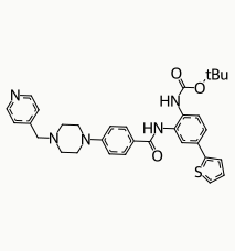 CC(C)(C)OC(=O)Nc1ccc(-c2cccs2)cc1NC(=O)c1ccc(N2CCN(Cc3ccncc3)CC2)cc1